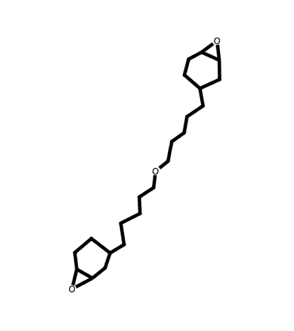 C(CCOCCCCCC1CCC2OC2C1)CCC1CCC2OC2C1